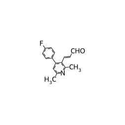 Cc1cc(-c2ccc(F)cc2)c(C=CC=O)c(C)n1